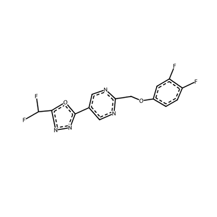 Fc1ccc(OCc2ncc(-c3nnc(C(F)F)o3)cn2)cc1F